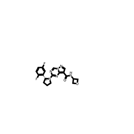 O=C(NC1COC1)c1cnn2cnc(N3CCC[C@@H]3c3cc(F)ccc3F)nc12